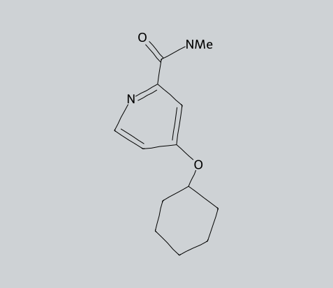 CNC(=O)c1cc(OC2CCCCC2)ccn1